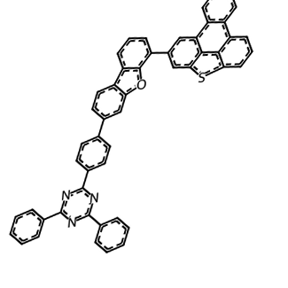 c1ccc(-c2nc(-c3ccccc3)nc(-c3ccc(-c4ccc5c(c4)oc4c(-c6cc7sc8cccc9c%10ccccc%10c(c6)c7c89)cccc45)cc3)n2)cc1